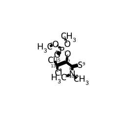 COP(=O)(OC)OC(C(=S)N(C)C)=C(Cl)Cl